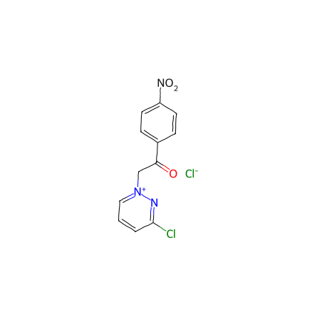 O=C(C[n+]1cccc(Cl)n1)c1ccc([N+](=O)[O-])cc1.[Cl-]